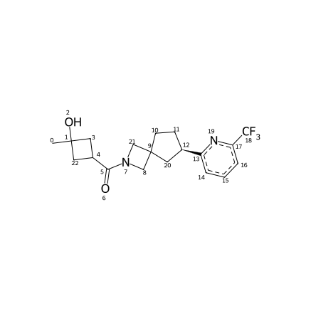 CC1(O)CC(C(=O)N2CC3(CC[C@@H](c4cccc(C(F)(F)F)n4)C3)C2)C1